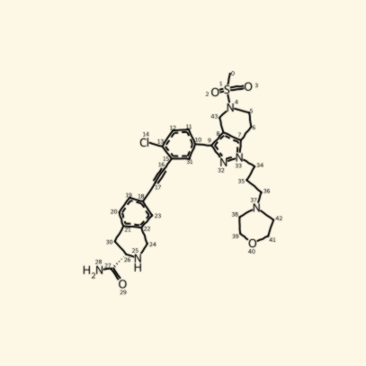 CS(=O)(=O)N1CCc2c(c(-c3ccc(Cl)c(C#Cc4ccc5c(c4)CN[C@H](C(N)=O)C5)c3)nn2CCCN2CCOCC2)C1